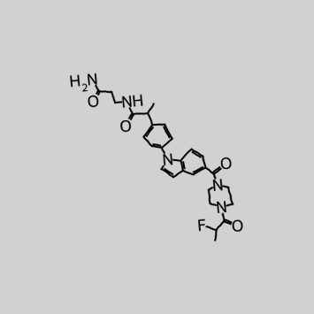 CC(F)C(=O)N1CCN(C(=O)c2ccc3c(ccn3-c3ccc(C(C)C(=O)NCCC(N)=O)cc3)c2)CC1